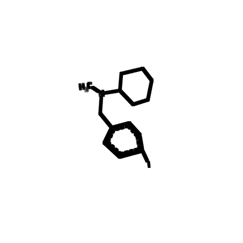 CN(Cc1ccc(I)cc1)C1CCCCC1